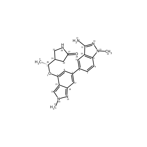 C[C@@H](Oc1cc(-c2ccc3c(c2)c(N)nn3C)cc2nn(C)cc12)C1CNC(=O)C1